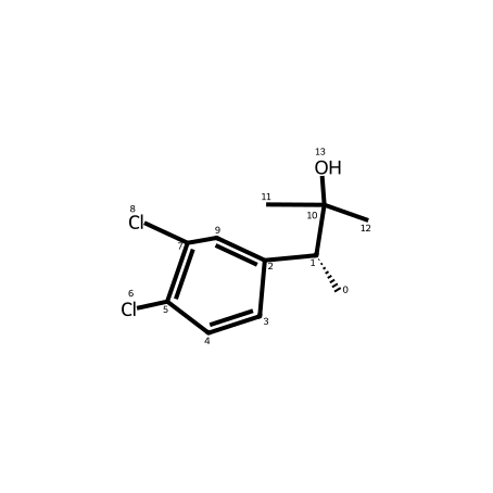 C[C@H](c1ccc(Cl)c(Cl)c1)C(C)(C)O